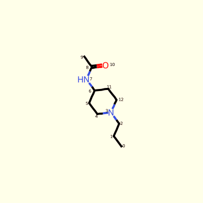 CCCN1CCC(NC(C)=O)CC1